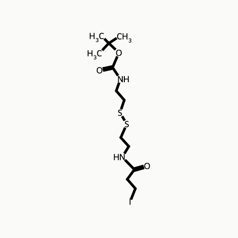 CC(C)(C)OC(=O)NCCSSCCNC(=O)CCI